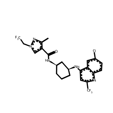 Cc1nn(CC(F)(F)F)cc1C(=O)N[C@@H]1CCC[C@H](Nc2cc(C(F)(F)F)nc3ccc(Cl)cc23)C1